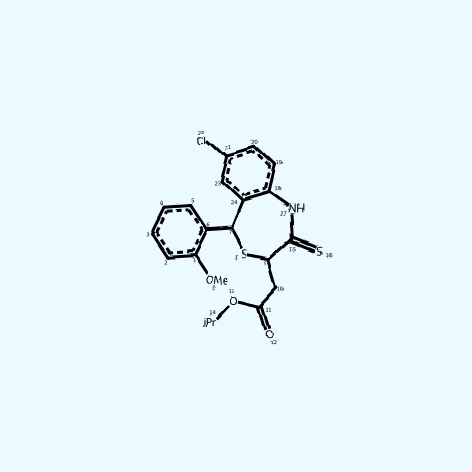 COc1ccccc1C1SC(CC(=O)OC(C)C)C(=S)Nc2ccc(Cl)cc21